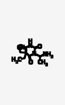 CCC1(CC)C(=O)NC(=O)N(C(C)N)C1=O